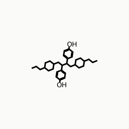 CCCC1CCC(CC(c2ccc(O)cc2)C(CC2CCC(CCC)CC2)c2ccc(O)cc2)CC1